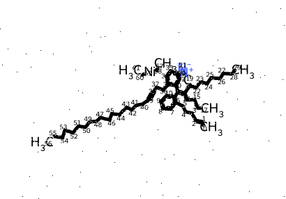 CC=CCCCc1ccccc1C(=C(CCCC)C(=C=[N+]=[N-])CCCCCCCC)c1ccccc1CCC#CCCCCCCCCCCCCCCCCC.C[CH2][Ni][CH2]C